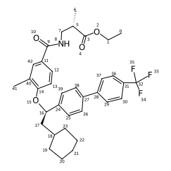 CCOC(=O)[C@@H](C)CNC(=O)c1ccc(O[C@H](CC2CCCCC2)c2ccc(-c3ccc(C(F)(F)F)cc3)cc2)c(C)c1